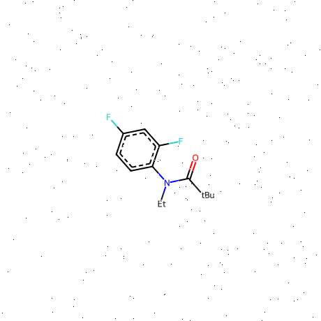 CCN(C(=O)C(C)(C)C)c1ccc(F)cc1F